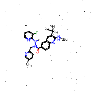 [2H]C([2H])([2H])c1cc2cc(C(=O)N(Cc3ccc(C(F)(F)F)cn3)N(C)c3ncccc3F)ccc2nc1NC(C)(C)C